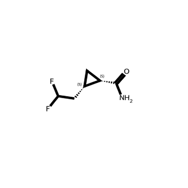 NC(=O)[C@H]1C[C@H]1CC(F)F